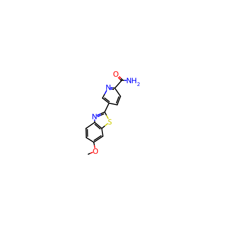 COc1ccc2nc(-c3ccc(C(N)=O)nc3)sc2c1